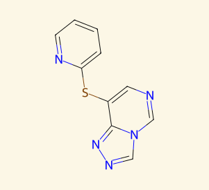 c1ccc(Sc2cncn3cnnc23)nc1